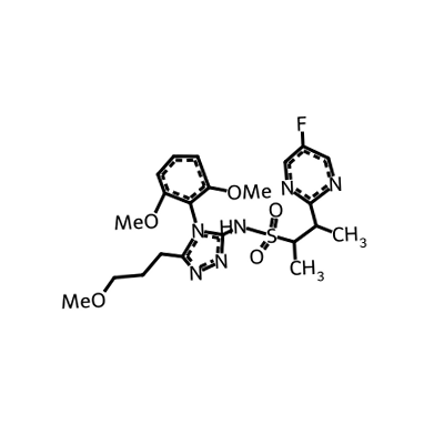 COCCCc1nnc(NS(=O)(=O)C(C)C(C)c2ncc(F)cn2)n1-c1c(OC)cccc1OC